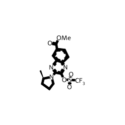 COC(=O)c1ccc2nc(OS(=O)(=O)C(F)(F)F)c(N3CCC[C@H]3C)nc2c1